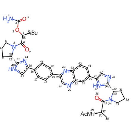 CCC(C)[C@H](OC(N)=O)C(=O)N1CCC[C@H]1c1nc(-c2ccc(-c3cnc4cc(-c5cnc([C@@H]6CCCN6C(=O)[C@@H](C)NC(C)=O)[nH]5)ccc4n3)cc2)c[nH]1